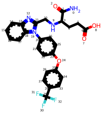 NC(=O)C(CCC(=O)O)NCc1nc2ccccc2n1-c1ccc(Oc2ccc(C(F)(F)F)cc2)cc1